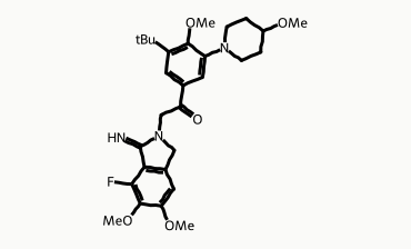 COc1cc2c(c(F)c1OC)C(=N)N(CC(=O)c1cc(N3CCC(OC)CC3)c(OC)c(C(C)(C)C)c1)C2